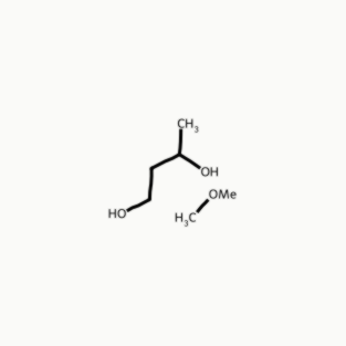 CC(O)CCO.COC